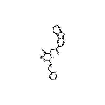 O=C(/C=C/c1ccccc1)NC(CC(=O)c1ccc2oc3ccccc3c2c1)C(=O)O